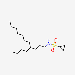 CCCCCCCC(CCCC)CCCNS(=O)(=O)C1CC1